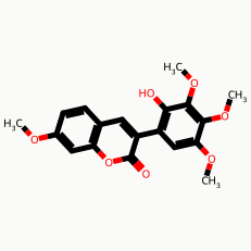 COc1ccc2cc(-c3cc(OC)c(OC)c(OC)c3O)c(=O)oc2c1